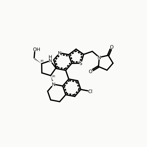 O=C1CCC(=O)N1Cc1cc2nccc(-c3cc(Cl)cc4c3N([C@H]3CN[C@@H](CO)C3)CCC4)c2s1